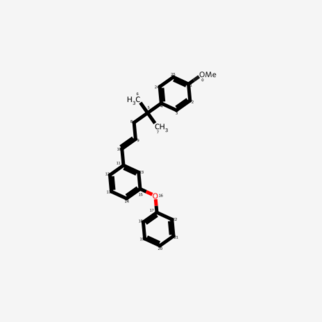 COc1ccc(C(C)(C)CC=Cc2cccc(Oc3ccccc3)c2)cc1